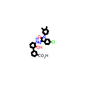 Cc1ccc(N2C(=O)C(=NNc3cccc(-c4cccc(C(=O)O)c4)c3O)c3ccc(Cl)cc32)cc1C